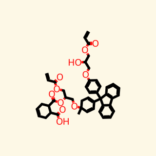 C=CC(=O)OCC(O)COc1ccc(C2(C3=CCC(C)(OCC(COC(=O)C=C)OC(=O)C4CC=CCC4C(=O)O)C=C3)C3=C(C=C=C=C3)c3ccccc32)cc1